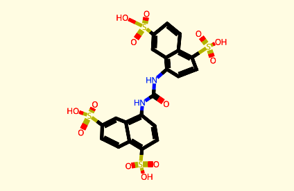 O=C(Nc1ccc(S(=O)(=O)O)c2ccc(S(=O)(=O)O)cc12)Nc1ccc(S(=O)(=O)O)c2ccc(S(=O)(=O)O)cc12